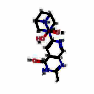 Cc1nc2cnc(N3CC4CC(C3)N4C(=O)O)cc2c(=O)[nH]1